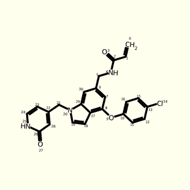 C=CC(=O)NCc1cc(Oc2ccc(Cl)cc2)c2ccn(Cc3cc[nH]c(=O)c3)c2c1